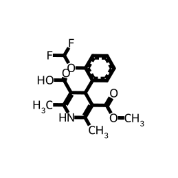 COC(=O)C1=C(C)NC(C)=C(C(=O)O)C1c1ccccc1OC(F)F